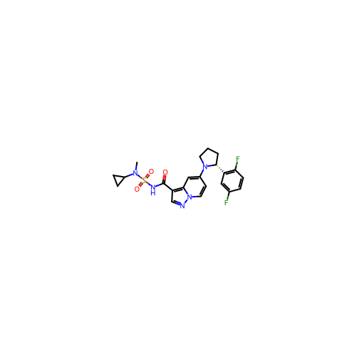 CN(C1CC1)S(=O)(=O)NC(=O)c1cnn2ccc(N3CCC[C@@H]3c3cc(F)ccc3F)cc12